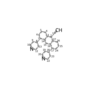 C#Cc1c2cccc(-c3ccncc3)c2cc2c(-c3ccncc3)cccc12